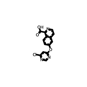 O=C(O)c1nccc2cc(Oc3cc(Cl)ncn3)ccc12